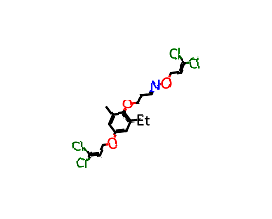 CCc1cc(OCC=C(Cl)Cl)cc(C)c1OCC/C=N/OCC=C(Cl)Cl